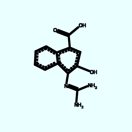 NC(N)=Nc1c(O)cc(C(=O)O)c2ccccc12